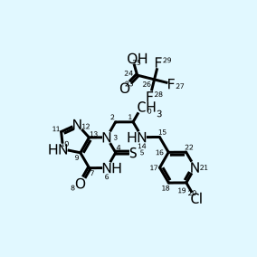 CC(Cn1c(=S)[nH]c(=O)c2[nH]cnc21)NCc1ccc(Cl)nc1.O=C(O)C(F)(F)F